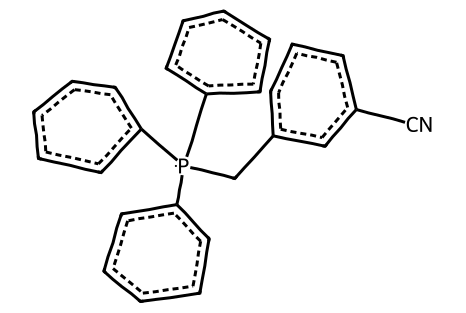 N#Cc1cccc(C[P](c2ccccc2)(c2ccccc2)c2ccccc2)c1